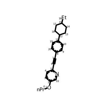 CCCOc1ccc(C#Cc2ccc(C3CCC(CC)CC3)cc2)nc1